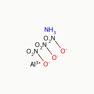 N.O=[N+]([O-])[O-].O=[N+]([O-])[O-].O=[N+]([O-])[O-].[Al+3]